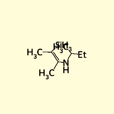 CCC(C)NC(C)=C(C)[SiH3]